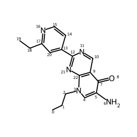 CCCn1cc(N)c(=O)c2cnc(-c3ccnc(CC)c3)nc21